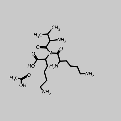 CC(=O)O.CC(C)C(N)C(=O)N(C(=O)C(N)CCCCN)C(CCCCN)C(=O)O